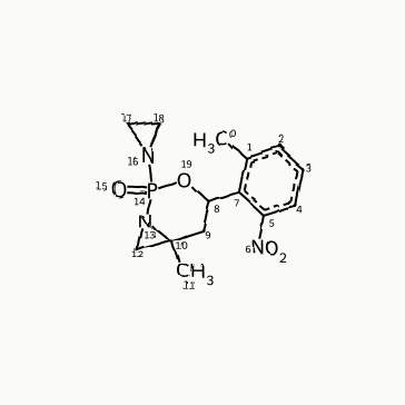 Cc1cccc([N+](=O)[O-])c1C1CC2(C)CN2P(=O)(N2CC2)O1